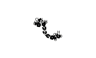 COc1cc(N2CCC(N3CCN(CC4CCN(c5ccc6c(c5)C(=O)N(C5CCC(=O)NC5=O)C6=O)CC4)CC3)CC2)ccc1Nc1ncc(Cl)c(Nc2ccccc2P(C)(C)=O)n1